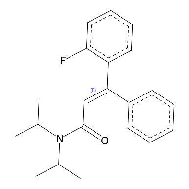 CC(C)N(C(=O)/C=C(\c1ccccc1)c1ccccc1F)C(C)C